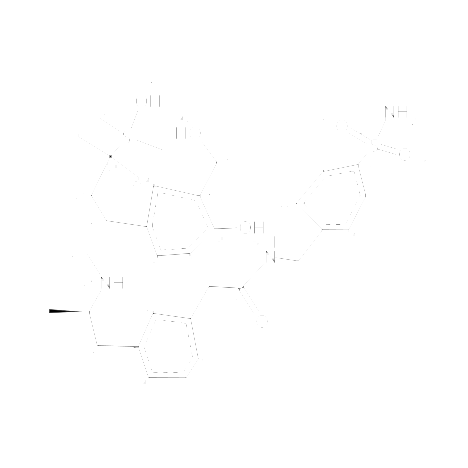 C[C@H](Cc1cccc(CC(=O)NCc2ccc(S(N)(=O)=O)cc2)c1)NC[C@H](CC(C)(C)[Si](C)(C)O)c1ccc(O)c(CO)c1